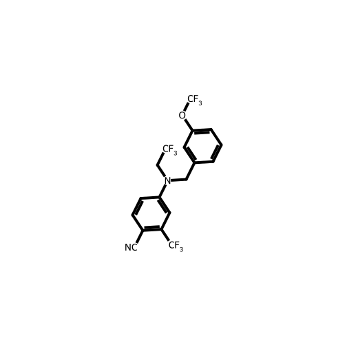 N#Cc1ccc(N(Cc2cccc(OC(F)(F)F)c2)CC(F)(F)F)cc1C(F)(F)F